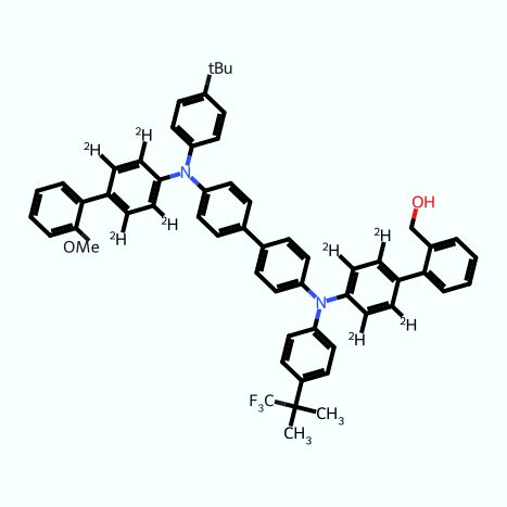 [2H]c1c([2H])c(N(c2ccc(-c3ccc(N(c4ccc(C(C)(C)C)cc4)c4c([2H])c([2H])c(-c5ccccc5OC)c([2H])c4[2H])cc3)cc2)c2ccc(C(C)(C)C(F)(F)F)cc2)c([2H])c([2H])c1-c1ccccc1CO